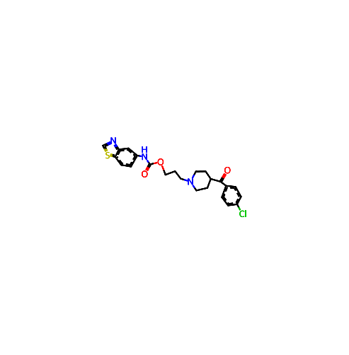 O=C(Nc1ccc2scnc2c1)OCCCN1CCC(C(=O)c2ccc(Cl)cc2)CC1